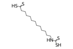 S=C(S)CCCCCCCCCCCCNC(=S)S